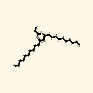 [CH2]Cc1nc(CCCCCCCCCC)cc(CCCCCCCCCC)n1